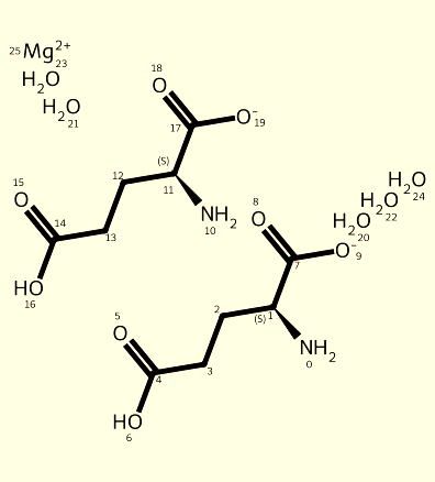 N[C@@H](CCC(=O)O)C(=O)[O-].N[C@@H](CCC(=O)O)C(=O)[O-].O.O.O.O.O.[Mg+2]